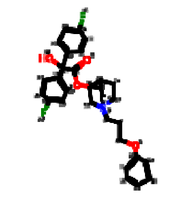 O=C(OC1C[N+]2(CCCOc3ccccc3)CCC1CC2)C(O)(c1ccc(F)cc1)c1ccc(F)cc1